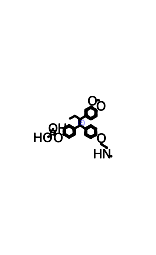 CC/C(=C(/c1ccc(OCCNC)cc1)c1ccc(OP(O)O)cc1)c1ccc2c(c1)OCO2